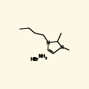 Br.CCCCN1C=CN(C)C1C.N